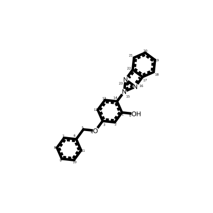 Oc1cc(OCc2ccccc2)ccc1-n1n2c3ccccc3n12